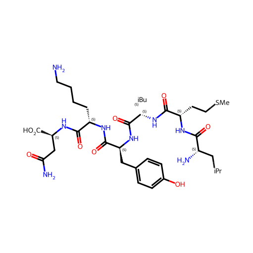 CC[C@H](C)[C@H](NC(=O)[C@H](CCSC)NC(=O)[C@@H](N)CC(C)C)C(=O)N[C@@H](Cc1ccc(O)cc1)C(=O)N[C@@H](CCCCN)C(=O)N[C@@H](CC(N)=O)C(=O)O